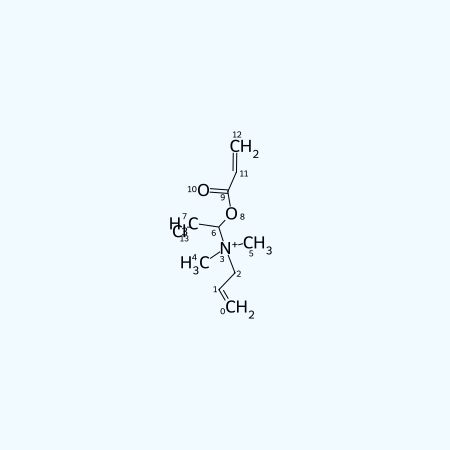 C=CC[N+](C)(C)C(C)OC(=O)C=C.[Cl-]